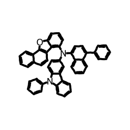 c1ccc(-c2ccc(N(c3ccc4c(c3)c3ccccc3n4-c3ccccc3)c3cccc4oc5c6ccccc6ccc5c34)c3ccccc23)cc1